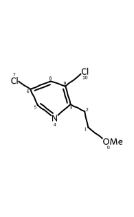 COCCc1ncc(Cl)cc1Cl